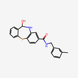 Cc1cccc(CNC(=O)c2ccc3c(c2)NC(O)c2ccccc2S3)c1